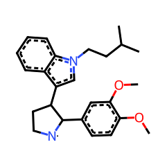 COc1ccc(C2[N]CCC2c2cn(CCC(C)C)c3ccccc23)cc1OC